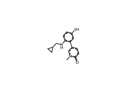 Cn1cc(-c2cc(S)ccc2NCC2CC2)ccc1=O